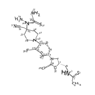 CC(=S)NC[C@H]1CN(c2ccc(N3CCC(C#N)(N(N)C(N)=S)CC3)c(F)c2)C(=O)O1